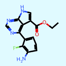 CCOC(=O)c1c[nH]c2ncnc(-c3cccc(N)c3F)c12